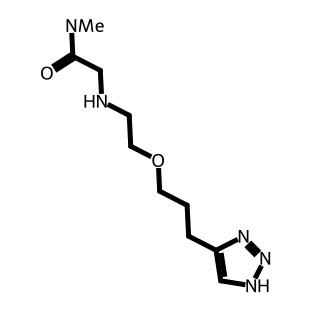 CNC(=O)CNCCOCCCc1c[nH]nn1